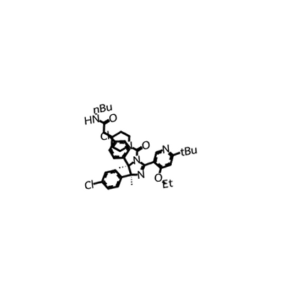 CCCCNC(=O)CC1CCN(C(=O)N2C(c3cnc(C(C)(C)C)cc3OCC)=N[C@@](C)(c3ccc(Cl)cc3)[C@@]2(C)c2ccc(Cl)cc2)CC1